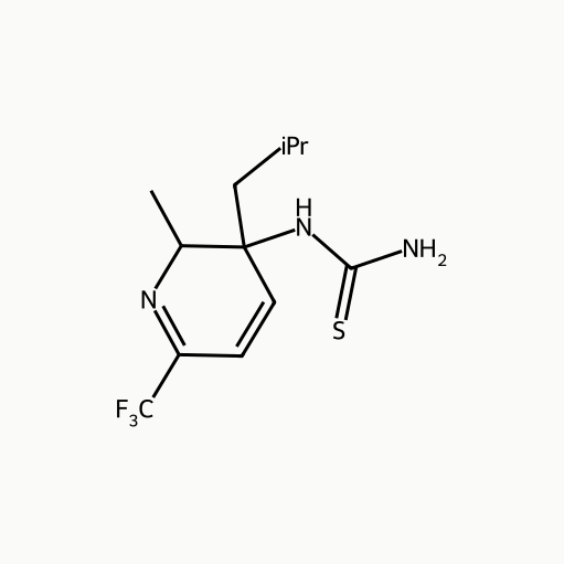 CC(C)CC1(NC(N)=S)C=CC(C(F)(F)F)=NC1C